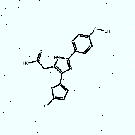 COc1ccc(-c2nc(-c3ccc(Cl)s3)c(CC(=O)O)[nH]2)cc1